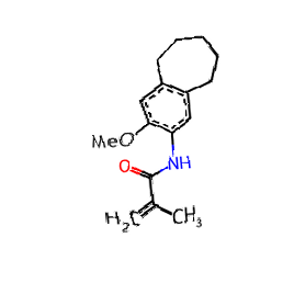 C=C(C)C(=O)Nc1cc2c(cc1OC)CCCCC2